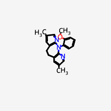 COc1ccccc1N1c2ncc(C)cc2CCc2cc(C)cnc21